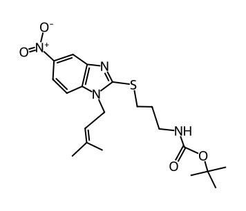 CC(C)=CCn1c(SCCCNC(=O)OC(C)(C)C)nc2cc([N+](=O)[O-])ccc21